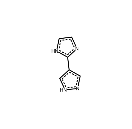 c1c[nH]c(-c2cn[nH]c2)n1